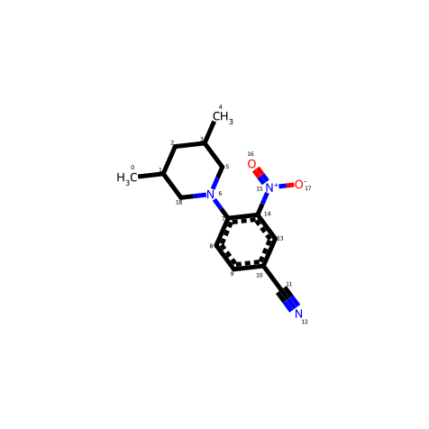 CC1CC(C)CN(c2ccc(C#N)cc2[N+](=O)[O-])C1